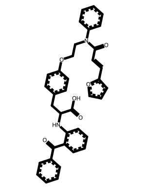 O=C(c1ccccc1)c1ccccc1NC(Cc1ccc(OCCN(C(=O)C=Cc2ccco2)c2ccccc2)cc1)C(=O)O